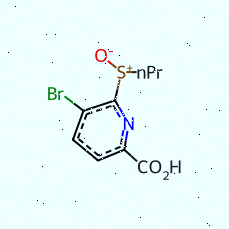 CCC[S+]([O-])c1nc(C(=O)O)ccc1Br